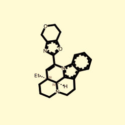 CC[C@@]12C=C(c3nc4c(o3)CCOC4)n3c4c(c5ccccc53)CCN(CCC1)[C@H]42